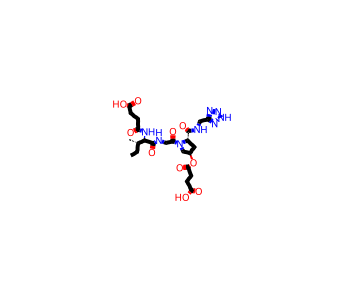 CC[C@H](C)[C@H](NC(=O)CCC(=O)O)C(=O)NCC(=O)N1C[C@H](OC(=O)CCC(=O)O)C[C@H]1C(=O)NCc1nn[nH]n1